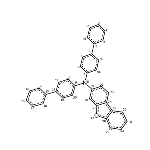 c1ccc(-c2ccc(N(c3ccc(-c4ccccc4)cc3)c3ccc4c(c3)oc3ncccc34)cc2)cc1